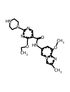 CCOc1nc(N2CCNCC2)ncc1C(=O)Nc1cc(OC)c2nc(C)cn2c1